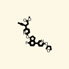 CC#CC(CC(=O)OC)c1ccc(O[C@@H]2CCc3c(-c4ccc(O[C@@H]5CCOC5)nc4)ccc(F)c32)nc1